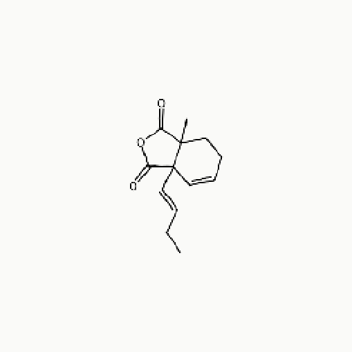 CCC=CC12C=CCCC1(C)C(=O)OC2=O